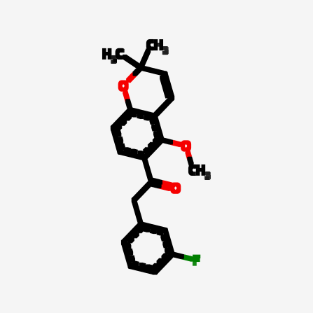 COc1c(C(=O)Cc2cccc(F)c2)ccc2c1C=CC(C)(C)O2